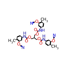 Cc1ccc(NC(=O)OCC(COC(=O)Nc2ccc(C)c(OC#N)c2)COC(=O)Nc2ccc(C)c(OC#N)c2)cc1OC#N